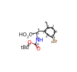 Cc1ccc(Br)cc1CC(NC(=O)OC(C)(C)C)C(=O)O